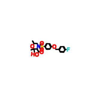 CC1CN(S(=O)(=O)c2ccc(OCc3ccc(F)cc3)cc2)C(C(=O)O)C(C)(C)O1